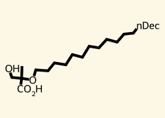 CCCCCCCCCCCCCCCCCCCCCCOC(C)(CO)C(=O)O